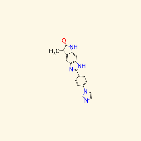 CC1C(=O)Nc2cc3[nH]c(-c4ccc(-n5ccnc5)cc4)nc3cc21